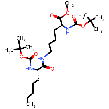 CCCCC[C@H](NC(=O)OC(C)(C)C)C(=O)NCCCC[C@H](NC(=O)OC(C)(C)C)C(=O)OC